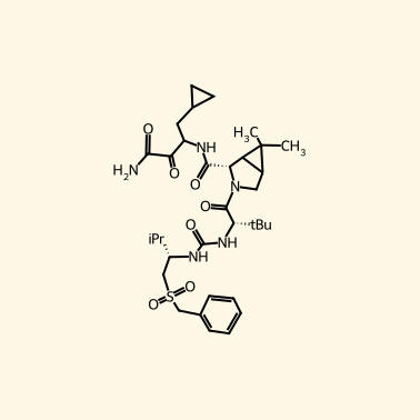 CC(C)[C@@H](CS(=O)(=O)Cc1ccccc1)NC(=O)N[C@H](C(=O)N1CC2C([C@H]1C(=O)NC(CC1CC1)C(=O)C(N)=O)C2(C)C)C(C)(C)C